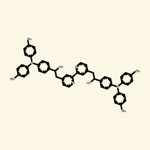 CC(C)(C)c1ccc(N(c2ccc(C(O)Cc3ccnc(-c4cc(CC(O)c5ccc(N(c6ccc(C(C)(C)C)cc6)c6ccc(C(C)(C)C)cc6)cc5)ccn4)c3)cc2)c2ccc(C(C)(C)C)cc2)cc1